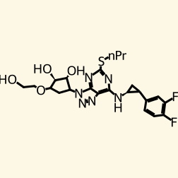 CCCSc1nc(N[C@H]2CC2c2ccc(F)c(F)c2)c2nnn(C3CC(OCCO)[C@@H](O)[C@H]3O)c2n1